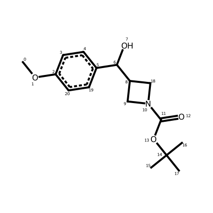 COc1ccc(C(O)C2CN(C(=O)OC(C)(C)C)C2)cc1